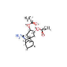 CC(=O)OC1CC2(C[C@H]1OC(C)=O)C1CCC(C1)[C@H]2N